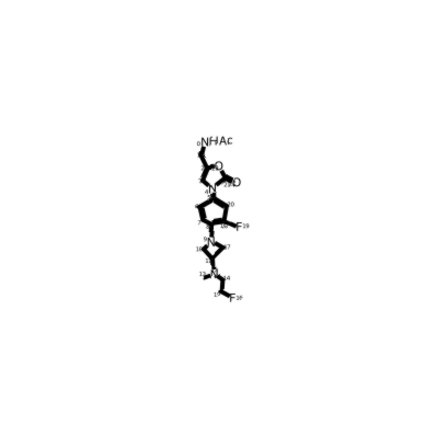 CC(=O)NCC1CN(c2ccc(N3CC(N(C)CCF)C3)c(F)c2)C(=O)O1